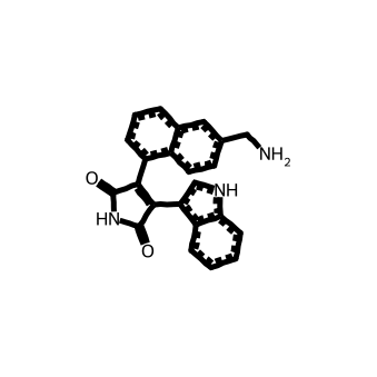 NCc1ccc2c(C3=C(c4c[nH]c5ccccc45)C(=O)NC3=O)cccc2c1